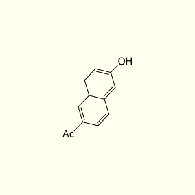 CC(=O)C1=CC2CC=C(O)C=C2C=C1